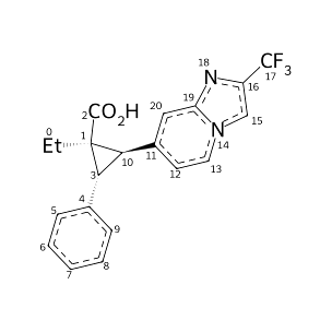 CC[C@@]1(C(=O)O)[C@@H](c2ccccc2)[C@@H]1c1ccn2cc(C(F)(F)F)nc2c1